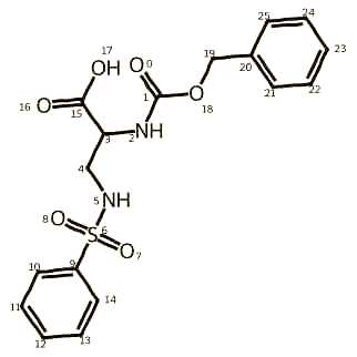 O=C(NC(CNS(=O)(=O)c1ccccc1)C(=O)O)OCc1ccccc1